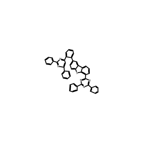 c1ccc(-c2cc(-c3ccccc3-c3ccc4sc5c(-c6nc(-c7ccccc7)nc(-c7ccccc7)n6)cccc5c4c3)nc(-c3ccccc3)n2)cc1